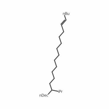 [CH2]CCC/C=C/CCCCCCCCCCC(CCCCCCCCC[CH2])C(C)C